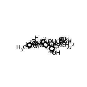 Cc1ccc(S(=O)(=O)NN=C2CCC3[C@H](O)C([C@@]4(C)CC[C@H](O)C[C@@H]4CCO[Si](C)(C)C(C)(C)C)CC[C@]23C)cc1